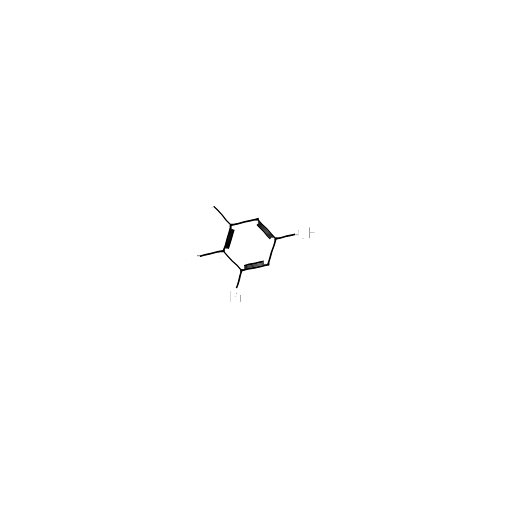 Cc1cc(C(F)(F)F)cc(Br)c1Cl